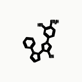 N#Cc1cn(-c2ccc(C(=O)O)c(O)c2)cc1-c1cccn1-c1ccccc1